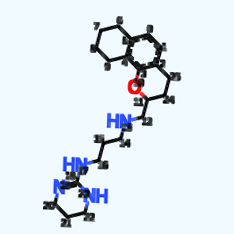 c1cc2c(c3c1CCCC3)OC(CNCCCNC1=NCCCN1)CC2